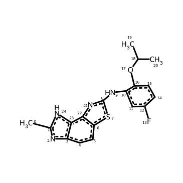 Cc1nc2ccc3sc(Nc4cc(F)ccc4OC(C)C)nc3c2[nH]1